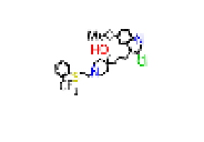 COc1ccc2ncc(Cl)c(CCCC3(CO)CCN(CCSc4ccccc4C(F)(F)F)CC3)c2c1